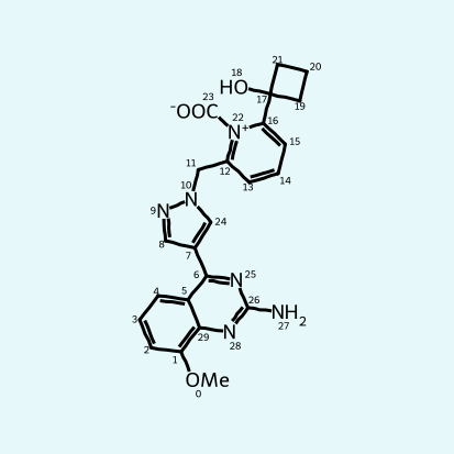 COc1cccc2c(-c3cnn(Cc4cccc(C5(O)CCC5)[n+]4C(=O)[O-])c3)nc(N)nc12